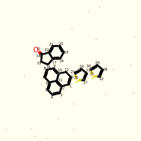 C1=Cc2cccc3cccc(c23)C1.O=C1CCc2ccccc21.c1ccsc1.c1ccsc1